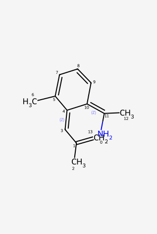 C=C(C)/C=c1/c(C)ccc/c1=C(\C)N